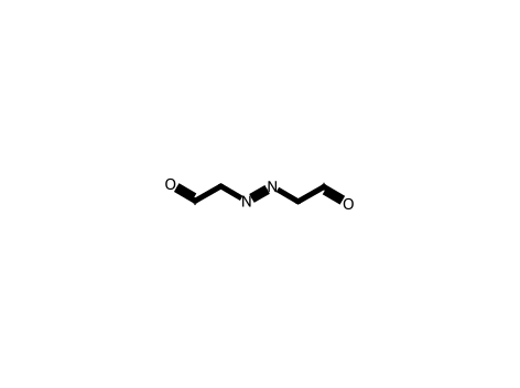 O=[C]CN=NC[C]=O